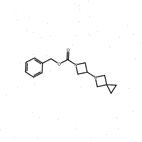 O=C(OCc1ccccc1)N1CC(N2CC3(CC3)C2)C1